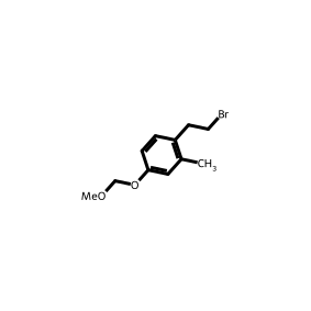 COCOc1ccc(CCBr)c(C)c1